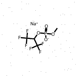 COP(=O)([O-])OC(C(F)(F)F)C(F)(F)F.[Na+]